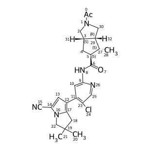 CC(=O)N1C[C@H]2C[C@H](C(=O)Nc3cc(-c4cc(C#N)n5c4CC(C)(C)C5)c(Cl)cn3)[C@@H](C)[C@H]2C1